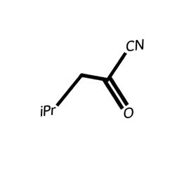 CC(C)CC(=O)C#N